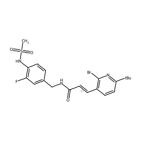 CC(C)(C)c1ccc(/C=C/C(=O)NCc2ccc(NS(C)(=O)=O)c(F)c2)c(Br)n1